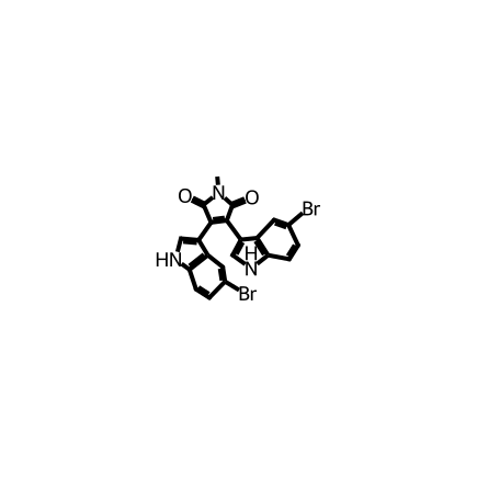 CN1C(=O)C(c2c[nH]c3ccc(Br)cc23)=C(c2c[nH]c3ccc(Br)cc23)C1=O